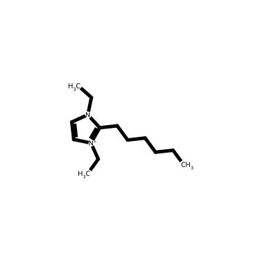 CCCCCCc1n(CC)cc[n+]1CC